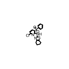 O=S(=O)(c1ccccc1)c1ccc(Cl)nc1Nc1nc2c(s1)CCCC2